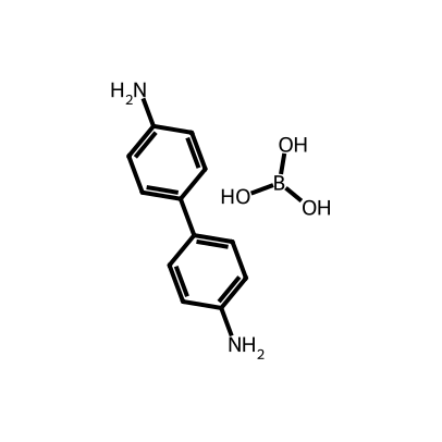 Nc1ccc(-c2ccc(N)cc2)cc1.OB(O)O